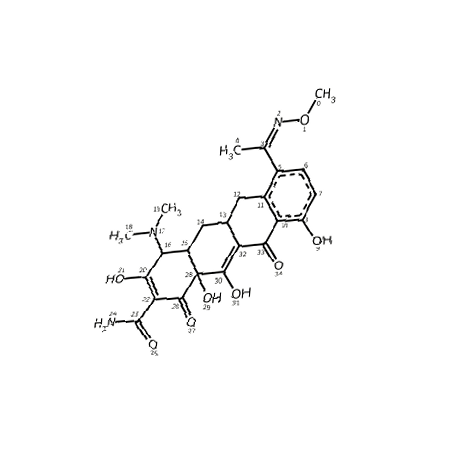 CO/N=C(/C)c1ccc(O)c2c1CC1CC3C(N(C)C)C(O)=C(C(N)=O)C(=O)C3(O)C(O)=C1C2=O